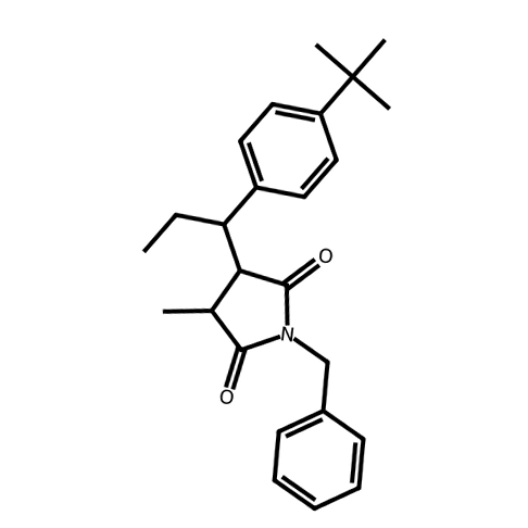 CCC(c1ccc(C(C)(C)C)cc1)C1C(=O)N(Cc2ccccc2)C(=O)C1C